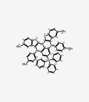 CC(C)(C)c1ccc(N2c3cc([Si](c4ccccc4)(c4ccccc4)c4ccccc4)cc4c3B(c3oc5ccc(C(C)(C)C)cc5c32)c2oc3ccc(C(C)(C)C)cc3c2N4c2ccc(C(C)(C)C)cc2)cc1